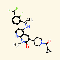 C[C@@H](Nc1ccnc2c1cc(C1CCN(C(=O)C3CC3)CC1)c(=O)n2C)c1cccc(C(F)F)c1F